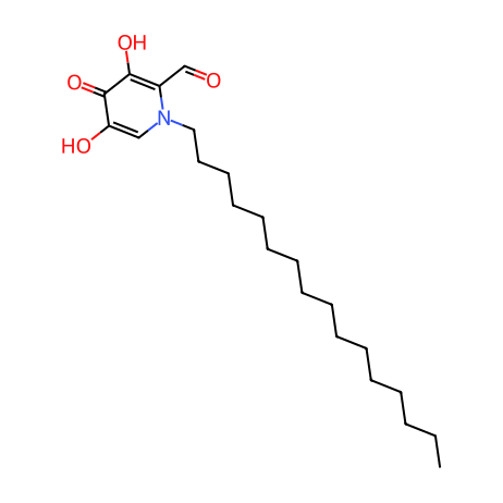 CCCCCCCCCCCCCCCCn1cc(O)c(=O)c(O)c1C=O